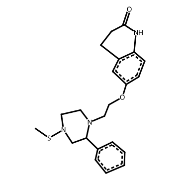 CSN1CCN(CCOc2ccc3c(c2)CCC(=O)N3)C(c2ccccc2)C1